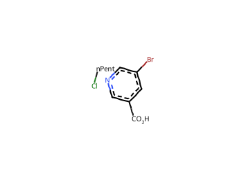 CCCCCCl.O=C(O)c1cncc(Br)c1